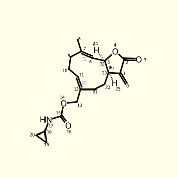 C=C1C(=O)O[C@@H]2/C=C(\C)CC/C=C(\COC(=O)NC3CC3)CC[C@H]12